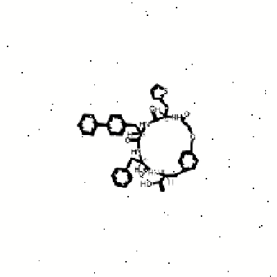 C=C(O)[C@@H]1Cc2ccc(cc2)OCC(=O)N[C@@H](CC2CC=CS2)C(=O)N[C@@H](Cc2ccc(-c3ccccc3)cc2)C(=O)N[C@H](Cc2ccccc2)C(=O)N1